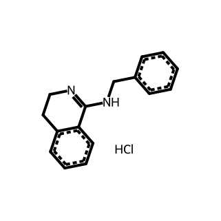 Cl.c1ccc(CNC2=NCCc3ccccc32)cc1